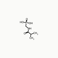 CC(C)C(=O)NCP(=O)(O)O